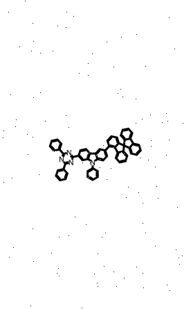 c1ccc(-c2nc(-c3ccccc3)nc(-c3ccc4c5cc(-c6cccc7c6-c6ccccc6C76c7ccccc7-c7ccccc76)ccc5n(-c5ccccc5)c4c3)n2)cc1